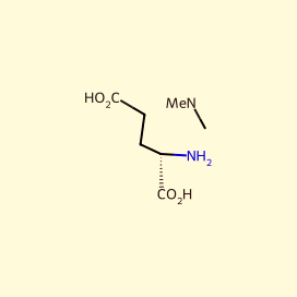 CNC.N[C@@H](CCC(=O)O)C(=O)O